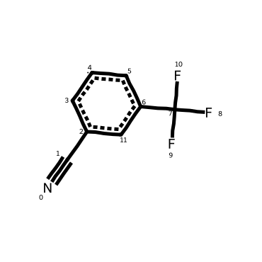 N#Cc1c[c]cc(C(F)(F)F)c1